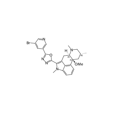 CO[C@]12C[C@@H](C)CN(C)[C@@H]1Cc1c(-c3nnc(-c4cncc(Br)c4)o3)n(C)c3cccc2c13